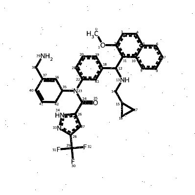 COc1ccc2ccccc2c1C(NCC1CC1)c1cccc(N(C(=O)c2cc(C(F)(F)F)n[nH]2)C2C=C(CN)C=CC2)c1